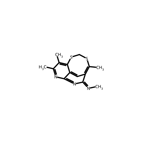 C/N=C1/N=c2nc(C)c(C)c3c2=C/C1=C(/C)SCS3